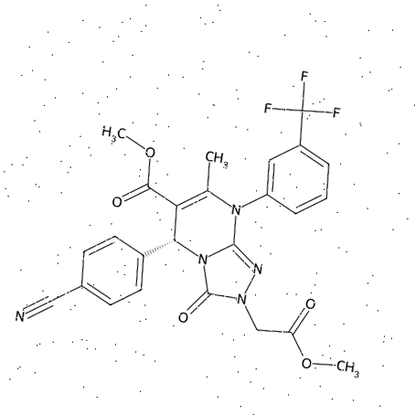 COC(=O)Cn1nc2n(c1=O)[C@H](c1ccc(C#N)cc1)C(C(=O)OC)=C(C)N2c1cccc(C(F)(F)F)c1